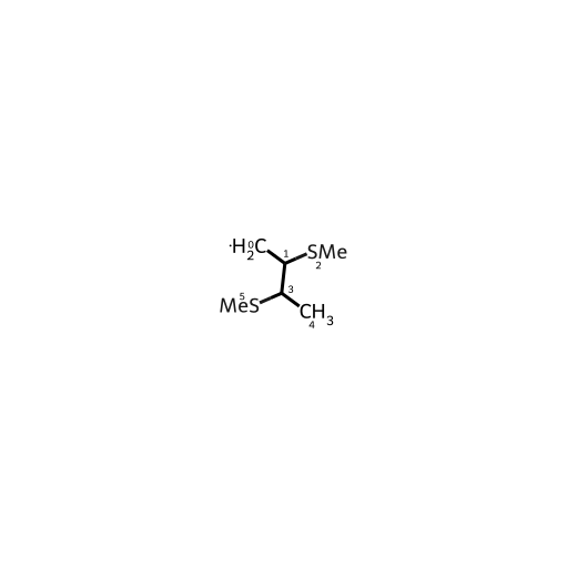 [CH2]C(SC)C(C)SC